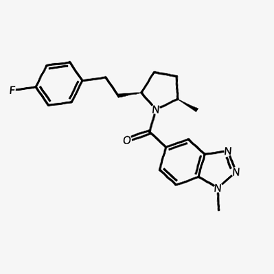 C[C@@H]1CC[C@H](CCc2ccc(F)cc2)N1C(=O)c1ccc2c(c1)nnn2C